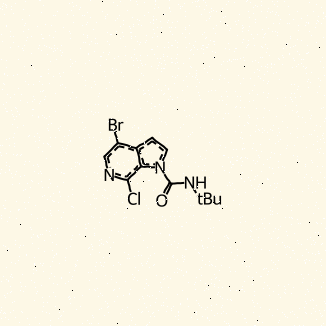 CC(C)(C)NC(=O)n1ccc2c(Br)cnc(Cl)c21